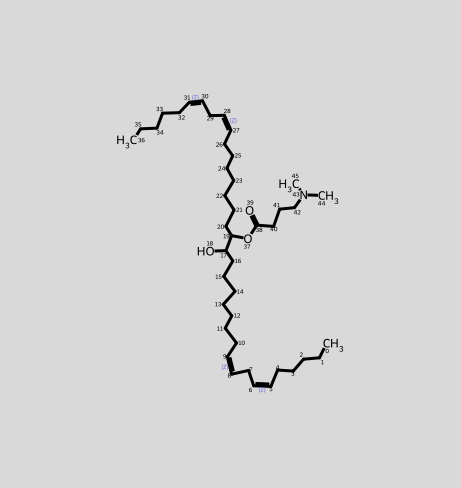 CCCCC/C=C\C/C=C\CCCCCCCC(O)C(CCCCCCC/C=C\C/C=C\CCCCC)OC(=O)CCCN(C)C